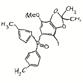 COc1cc(P(=O)(c2ccc(C)cc2)c2ccc(C)cc2)c(I)c2c1OC(C)(C)O2